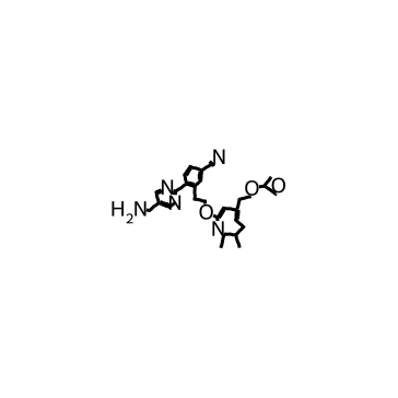 C/C1=N/C(OCCc2cc(C#N)ccc2-c2ncc(CN)cn2)=C\C(CCOC2COC2)=C\CC1C